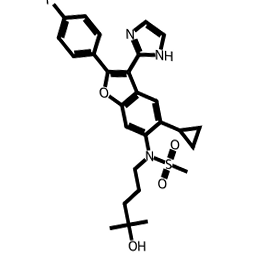 CC(C)(O)CCCN(c1cc2oc(-c3ccc(F)cc3)c(-c3ncc[nH]3)c2cc1C1CC1)S(C)(=O)=O